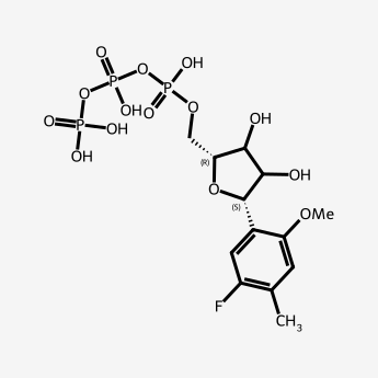 COc1cc(C)c(F)cc1[C@@H]1O[C@H](COP(=O)(O)OP(=O)(O)OP(=O)(O)O)C(O)C1O